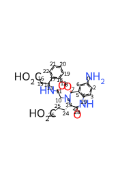 Nc1ccc2c(c1)C(=O)N(CC(=O)N[C@@H](CC(=O)O)c1ccccc1)[C@@H](CCC(=O)O)C(=O)N2